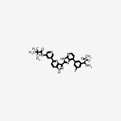 CC(C)(C)C(=O)Nc1cncc(-c2ccc3[nH]nc(-c4nc5c(-c6cc(F)cc(C(N)S(C)(=O)=O)c6)ccnc5[nH]4)c3n2)c1